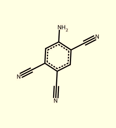 N#Cc1cc(C#N)c(C#N)cc1N